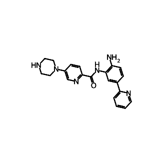 Nc1ccc(-c2ccccn2)cc1NC(=O)c1ccc(N2CCNCC2)cn1